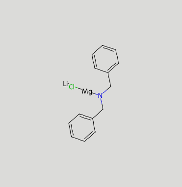 [Cl][Mg][N](Cc1ccccc1)Cc1ccccc1.[Li]